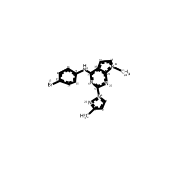 Cc1ccn(-c2nc(Nc3ccc(Br)cc3)c3ccn(C)c3n2)n1